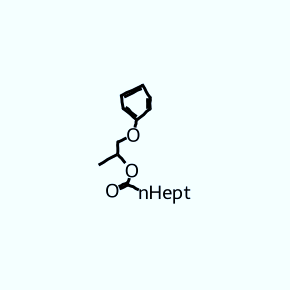 CCCCCCCC(=O)OC(C)COc1ccccc1